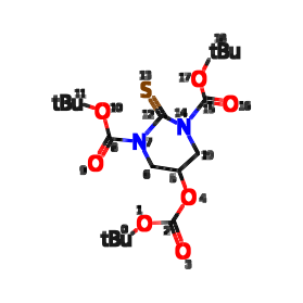 CC(C)(C)OC(=O)OC1CN(C(=O)OC(C)(C)C)C(=S)N(C(=O)OC(C)(C)C)C1